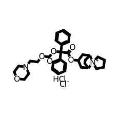 Cl.O=C(OCCN1CCOCC1)OC(C(=O)OC1CC2CCC(C1)[N+]21CCCC1)(c1ccccc1)c1ccccc1.[Cl-]